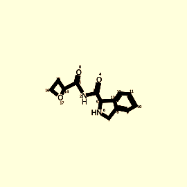 O=C(NC(=O)C1NCc2ccccc21)C1CCO1